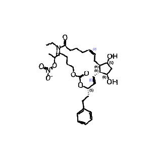 CCNC(=O)CCC/C=C\C[C@@H]1[C@@H](/C=C/[C@H](CCc2ccccc2)OC(=O)OCCCCC(C)O[N+](=O)[O-])[C@H](O)C[C@@H]1O